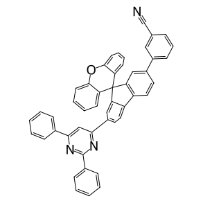 N#Cc1cccc(-c2ccc3c(c2)C2(c4ccccc4Oc4ccccc42)c2cc(-c4cc(-c5ccccc5)nc(-c5ccccc5)n4)ccc2-3)c1